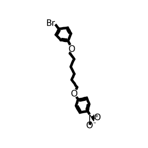 O=[N+]([O-])c1ccc(OCCCCCCOc2ccc(Br)cc2)cc1